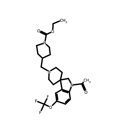 CCOC(=O)N1CCC(CN2CCC3(CC2)CN(C(C)=O)c2ccc(OC(F)(F)F)cc23)CC1